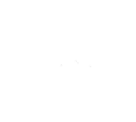 CC(C)(C)CN1CCN(CC2CCCO2)CC1